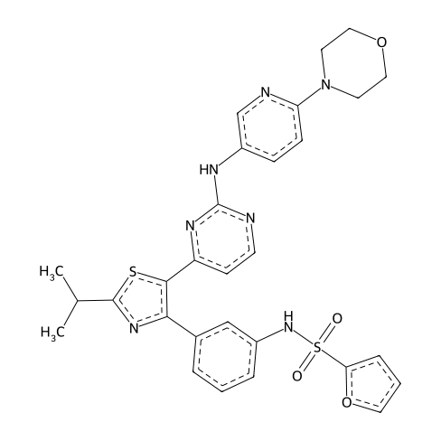 CC(C)c1nc(-c2cccc(NS(=O)(=O)c3ccco3)c2)c(-c2ccnc(Nc3ccc(N4CCOCC4)nc3)n2)s1